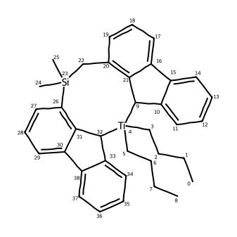 CCC[CH2][Ti]1([CH2]CCC)[CH]2c3ccccc3-c3cccc(c32)C[Si](C)(C)c2cccc3c2[CH]1c1ccccc1-3